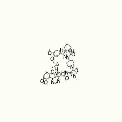 COc1ccc(C2=NN(C3CCN(C(=O)[C@@H](CN(C)C)NC(=O)c4c[nH]c5c(-c6c(OCC7CC7)ccc7c6OCO7)ncnc45)CC3)C(=O)[C@@H]3CCCC[C@H]23)cc1OC